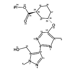 Cc1nc(-c2cnn(C)c2CO)ncc1O[C@H]1CCC[C@H](C(=O)OC(C)C)C1